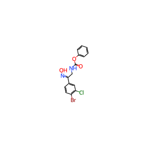 O=C(NCC(=NO)c1ccc(Br)c(Cl)c1)Oc1ccccc1